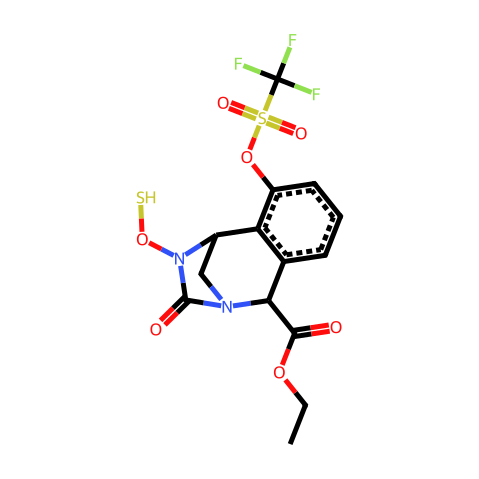 CCOC(=O)C1c2cccc(OS(=O)(=O)C(F)(F)F)c2C2CN1C(=O)N2OS